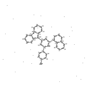 Brc1ccc(-c2nc(-c3cccc4ccccc34)nc(-n3c4ccccc4c4ccccc43)n2)cc1